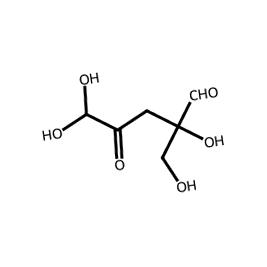 O=CC(O)(CO)CC(=O)C(O)O